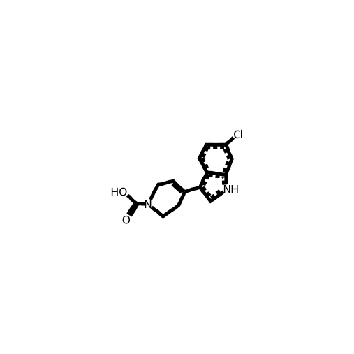 O=C(O)N1CC=C(c2c[nH]c3cc(Cl)ccc23)CC1